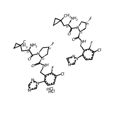 CC1(C[C@@H](N)C(=O)N2C[C@H](F)C[C@H]2C(=O)NCc2c(-n3cncn3)ccc(Cl)c2F)CC1.CC1(C[C@@H](N)C(=O)N2C[C@H](F)C[C@H]2C(=O)NCc2c(-n3cncn3)ccc(Cl)c2F)CC1.Cl.Cl